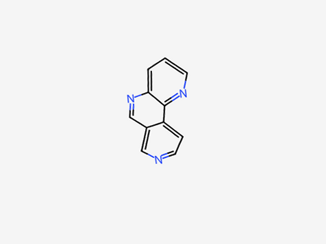 c1cnc2c(c1)ncc1cnccc12